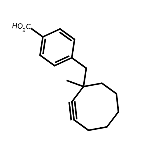 CC1(Cc2ccc(C(=O)O)cc2)C#CCCCCC1